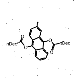 CCCCCCCCCCC(=O)Oc1c2ccccc2c(OC(=O)CCCCCCCCCC)c2cc(C)ccc12